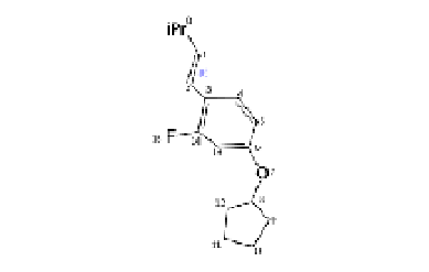 CC(C)/C=C/c1ccc(OC2CCCC2)cc1F